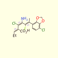 CC/C=C(C(=O)O)/C(Cl)=C(N)\C(F)=C(/C)c1ccc(Cl)c2c1OCO2